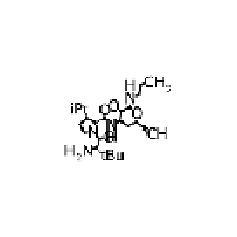 C#CCCC(NC(=O)[C@@H]1[C@@H](C(C)C)CCN1C(=O)[C@@H](N)C(C)(C)C)C(=O)C(=O)NCC=C